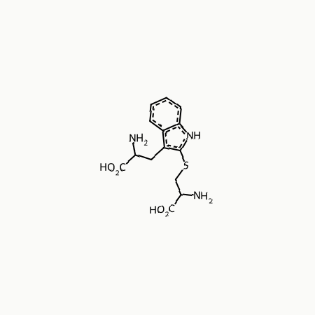 NC(CSc1[nH]c2ccccc2c1CC(N)C(=O)O)C(=O)O